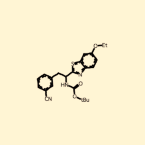 CCOc1ccc2nc(C(Cc3cccc(C#N)c3)NC(=O)OC(C)(C)C)sc2c1